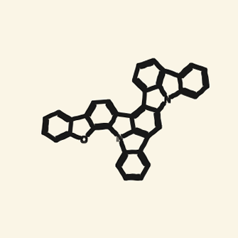 c1ccc2c(c1)oc1c2ccc2c3c4c5cccc6c7ccccc7n(c4cc4c7ccccc7n(c21)c43)c65